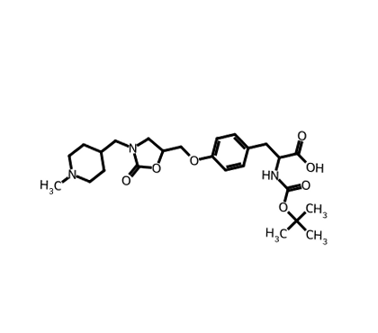 CN1CCC(CN2CC(COc3ccc(CC(NC(=O)OC(C)(C)C)C(=O)O)cc3)OC2=O)CC1